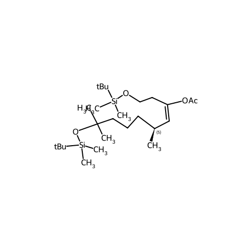 CC(=O)OC(=C[C@@H](C)CCCC(C)(C)O[Si](C)(C)C(C)(C)C)CCO[Si](C)(C)C(C)(C)C